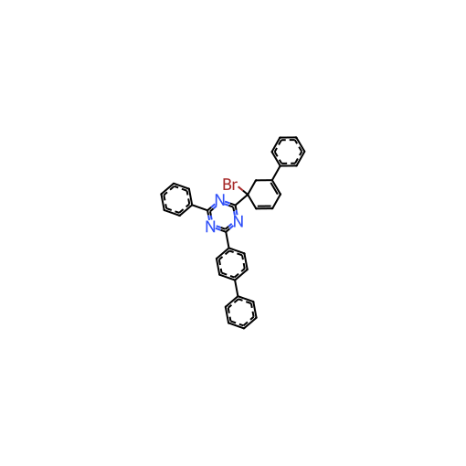 BrC1(c2nc(-c3ccccc3)nc(-c3ccc(-c4ccccc4)cc3)n2)C=CC=C(c2ccccc2)C1